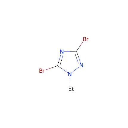 [CH2]Cn1nc(Br)nc1Br